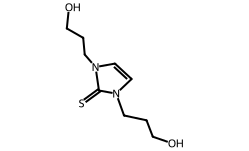 OCCCn1ccn(CCCO)c1=S